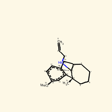 C=CCN[C@H]1C2CCCC[C@]1(C)c1cc(OC)ccc1C2